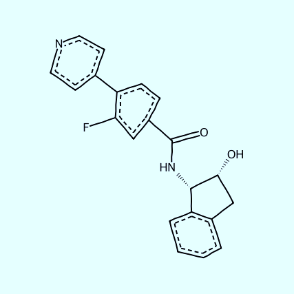 O=C(N[C@H]1c2ccccc2C[C@H]1O)c1ccc(-c2ccncc2)c(F)c1